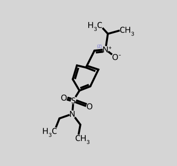 CCN(CC)S(=O)(=O)c1ccc(/C=[N+](\[O-])C(C)C)cc1